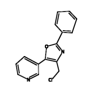 ClCc1nc(-c2ccccc2)oc1-c1cccnc1